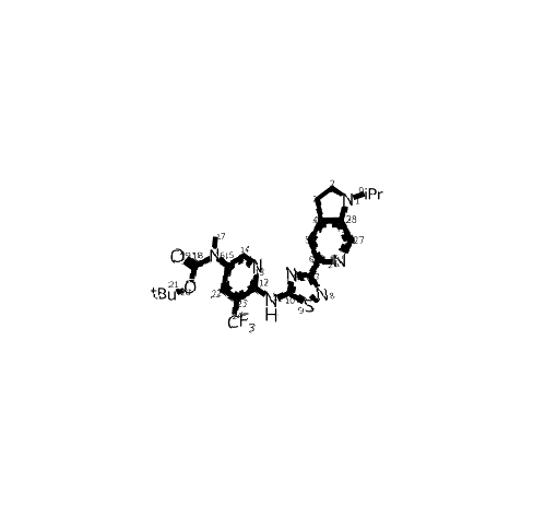 CC(C)N1CCc2cc(-c3nsc(Nc4ncc(N(C)C(=O)OC(C)(C)C)cc4C(F)(F)F)n3)ncc21